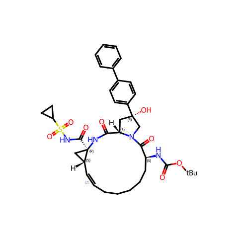 CC(C)(C)OC(=O)N[C@H]1CCCCC/C=C\[C@@H]2C[C@@]2(C(=O)NS(=O)(=O)C2CC2)NC(=O)[C@@H]2C[C@@](O)(c3ccc(-c4ccccc4)cc3)CN2C1=O